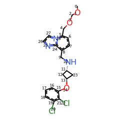 COCOCc1ccc(CN[C@H]2C[C@H](Oc3cccc(Cl)c3Cl)C2)c2nccn12